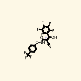 N#C/C(C(=O)NOc1ccc(C(F)(F)F)cc1)=C(\O)c1c(F)c(F)c(F)c(F)c1F